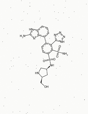 Nc1nc2c(-c3ccc(S(=O)(=O)N[C@@H]4CN[C@H](CO)C4)c(S(N)(=O)=O)c3-c3nnn[nH]3)cccc2[nH]1